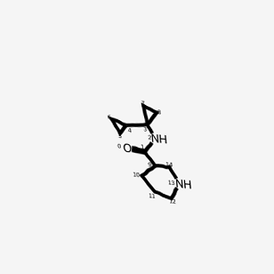 O=C(NC1(C2CC2)CC1)C1CCCNC1